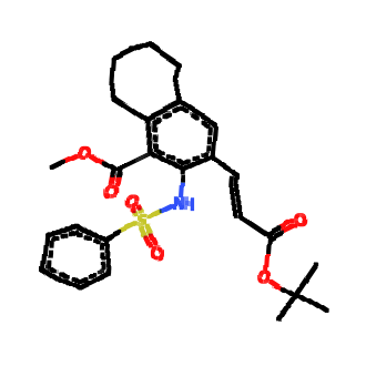 COC(=O)c1c2c(cc(C=CC(=O)OC(C)(C)C)c1NS(=O)(=O)c1ccccc1)CCCC2